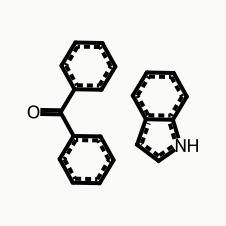 O=C(c1ccccc1)c1ccccc1.c1ccc2[nH]ccc2c1